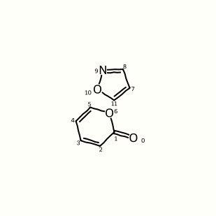 O=c1cccco1.c1cnoc1